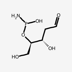 NP(O)O[C@H](CO)[C@@H](O)CC=O